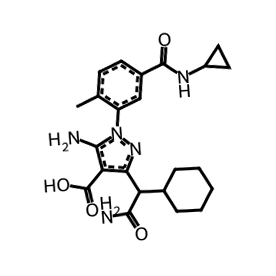 Cc1ccc(C(=O)NC2CC2)cc1-n1nc(C(C(N)=O)C2CCCCC2)c(C(=O)O)c1N